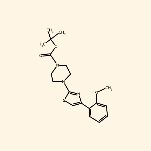 COc1ccccc1-c1csc(N2CCN(C(=O)OC(C)(C)C)CC2)n1